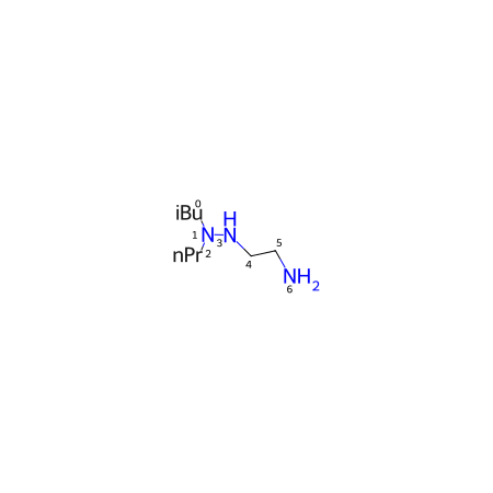 [CH2]C(CC)N(CCC)NCCN